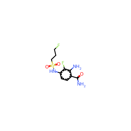 NC(=O)c1ccc(NS(=O)(=O)CCCF)c(F)c1N